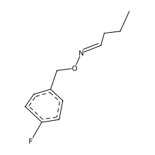 CCCC=NOCc1ccc(F)cc1